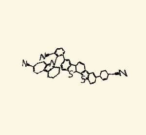 N#CC1=CCc2c3c(n(-c4c(C#N)cccc4-c4ccc5c(c4)C4C=Cc6c(sc7c6C=C(C6C=CC(C#N)CC6)CC7)C4S5)c2CC1)CCCC3